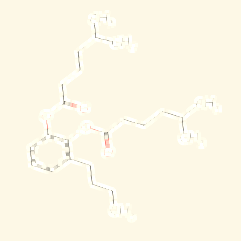 CCCCc1cccc(OC(=O)CCCC(C)C)c1OC(=O)CCCC(C)C